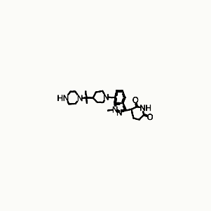 Cn1nc(C2CCC(=O)NC2=O)c2cccc(N3CCC(C(C)(C)N4CCNCC4)CC3)c21